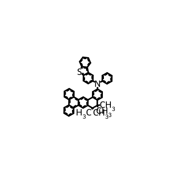 CC1(C)c2ccc(N(c3ccccc3)c3ccc4sc5ccccc5c4c3)cc2-c2cc3c4ccccc4c4ccccc4c3cc2C1(C)C